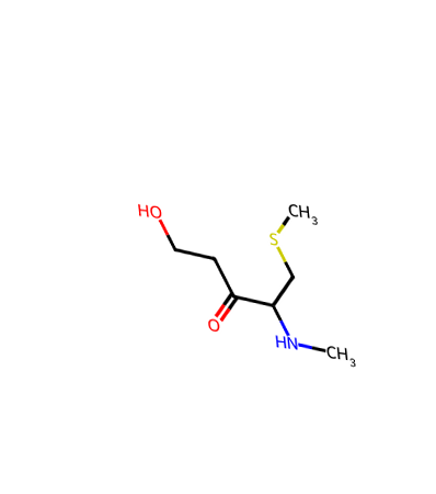 CNC(CSC)C(=O)CCO